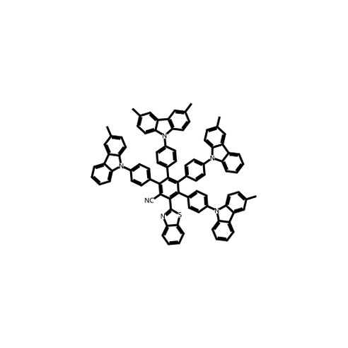 Cc1ccc2c(c1)c1ccccc1n2-c1ccc(-c2c(C#N)c(-c3nc4ccccc4s3)c(-c3ccc(-n4c5ccccc5c5cc(C)ccc54)cc3)c(-c3ccc(-n4c5ccccc5c5cc(C)ccc54)cc3)c2-c2ccc(-n3c4ccc(C)cc4c4cc(C)ccc43)cc2)cc1